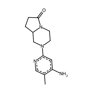 Cc1cnc(N2CCN3C(=O)CCC3C2)cc1N